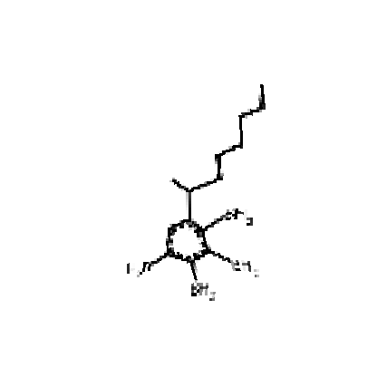 Bc1cc(C(C)CCCCCC)c(B)c(B)c1B